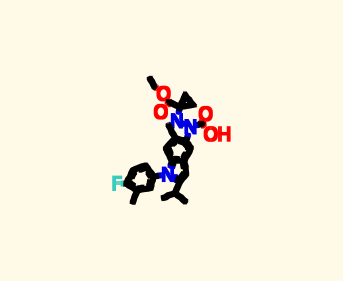 CCOC(=O)C1(N2Cc3cc4c(cc3N2C(=O)O)cc(C(C)C)n4-c2ccc(F)c(C)c2)CC1